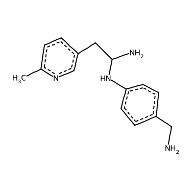 Cc1ccc(CC(N)Nc2ccc(CN)cc2)cn1